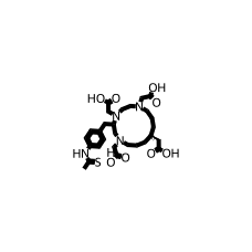 CC(=S)Nc1ccc(CC2CN(CC(=O)O)CCC[C@H](CC(=O)O)CCCN(CC(=O)O)CCN2CC(=O)O)cc1